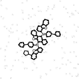 c1ccc(-c2ccc(N(c3cccc4c3oc3c(C5CCCC5)cccc34)c3c4ccccc4c(N(c4ccc(-c5ccccc5)cc4)c4cccc5c4oc4ccccc45)c4c3oc3ccccc34)cc2)cc1